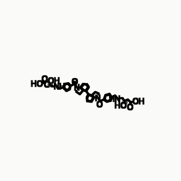 O=C(O)C[C@H](O)CNCc1ccc(C(=O)N2CCc3c(-c4cccc5c4CCN5C(=O)c4ccc(CNC[C@@H](O)CC(=O)O)cc4)cccc32)cc1